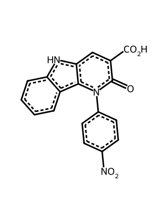 O=C(O)c1cc2[nH]c3ccccc3c2n(-c2ccc([N+](=O)[O-])cc2)c1=O